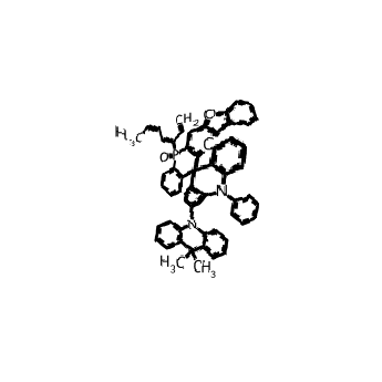 C=C/C(=C\C=C/C)P1(=O)c2ccccc2C2(c3ccccc3N(c3ccccc3)c3cc(N4c5ccccc5C(C)(C)c5ccccc54)ccc32)c2cc3c(cc21)oc1ccccc13